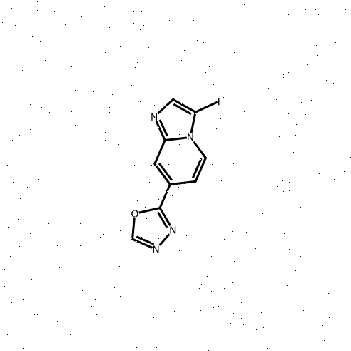 Ic1cnc2cc(-c3nnco3)ccn12